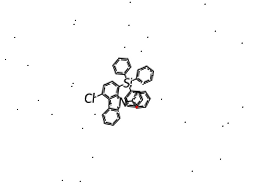 Clc1ccc([Si](c2ccccc2)(c2ccccc2)c2ccccc2)c2c1c1ccccc1n2-c1ccccc1